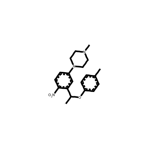 [CH2]C(Oc1ccc(C)cc1)c1cc(N2CCN(C)CC2)ccc1[N+](=O)[O-]